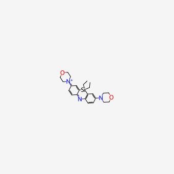 CC[Si]1(CC)C2=CC(=[N+]3CCOCC3)C=CC2=Nc2ccc(N3CCOCC3)cc21